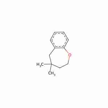 CC1(C)CCOc2ccccc2C1